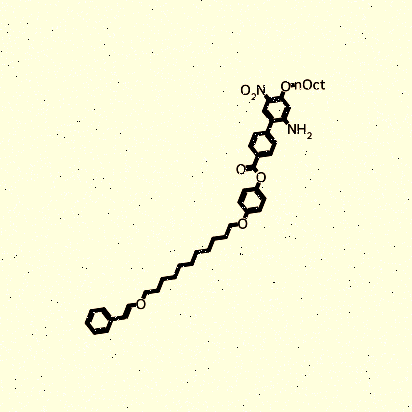 CCCCCCCCOc1cc(N)c(-c2ccc(C(=O)Oc3ccc(OCCCCCCCCCCCOC=Cc4ccccc4)cc3)cc2)cc1[N+](=O)[O-]